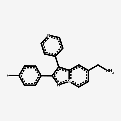 NCc1ccn2nc(-c3ccc(F)cc3)c(-c3ccncc3)c2c1